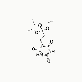 CCOC(CCn1c(=O)[nH]c(=O)[nH]c1=O)(OCC)OCC